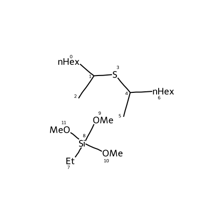 CCCCCCC(C)SC(C)CCCCCC.CC[Si](OC)(OC)OC